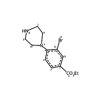 CCOC(=O)c1ccc(N2CCNCC2)c(Br)c1